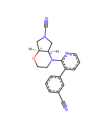 N#Cc1cccc(-c2cccnc2N2CCO[C@H]3CN(C#N)C[C@H]32)c1